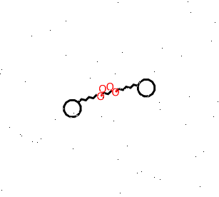 O=C(CC(=O)OCCCCCC1CCCCCCCCCCC1)OCCCCCC1CCCCCCCCCCC1